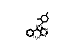 CC1CCC(n2nc(-c3ccccc3)c3c(N)ncnc32)C(C)C1